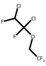 FC(Cl)C(F)(Cl)OCC(F)(F)F